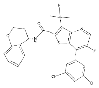 CC(C)(F)c1c(C(=O)N[C@H]2CCOc3ccccc32)sc2c(-c3cc(Cl)cc(Cl)c3)c(F)cnc12